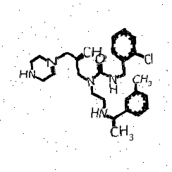 C=C(CN1CCNCC1)CN(CCNC(C)c1cccc(C)c1)C(=O)NCc1ccccc1Cl